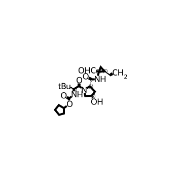 C=C[C@@H]1C[C@@]1(C=O)NC(=O)[C@@H]1C[C@H](O)CN1C(=O)[C@@H](NC(=O)OC1CCCC1)C(C)(C)C